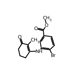 COC(=O)c1ccc(Br)c(NC2=C(C)C(=O)CCC2)c1